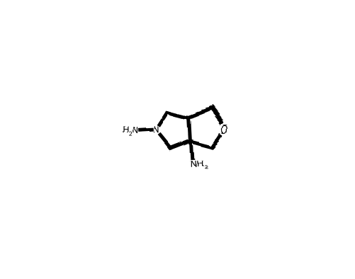 NN1CC2COCC2(N)C1